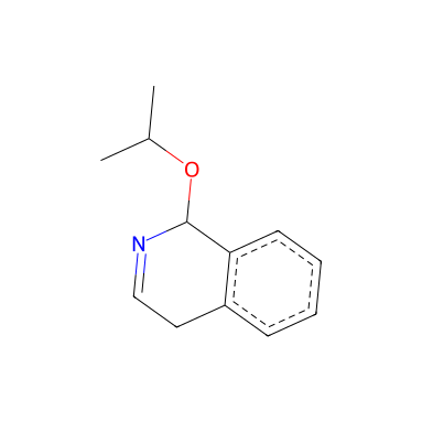 CC(C)OC1N=CCc2ccccc21